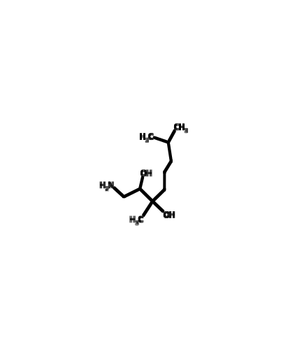 CC(C)CCCC(C)(O)C(O)CN